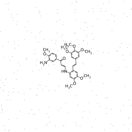 COc1ccc(C(=O)C=CNc2cc(OC)c(OC)cc2C=Cc2cc(OC)c(OC)c(OC)c2)cc1N